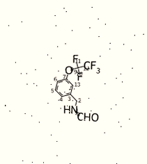 O=CNCc1cccc(OC(F)(F)C(F)(F)F)c1